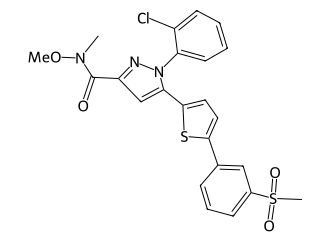 CON(C)C(=O)c1cc(-c2ccc(-c3cccc(S(C)(=O)=O)c3)s2)n(-c2ccccc2Cl)n1